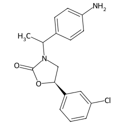 CC(c1ccc(N)cc1)N1C[C@@H](c2cccc(Cl)c2)OC1=O